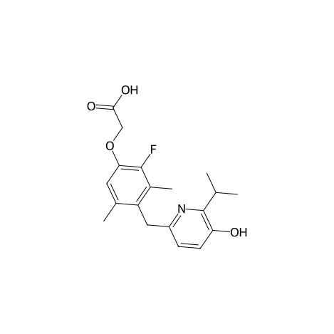 Cc1cc(OCC(=O)O)c(F)c(C)c1Cc1ccc(O)c(C(C)C)n1